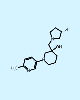 Cc1ccc(N2CCC[C@@](O)(CN3CC[C@H](F)C3)C2)cn1